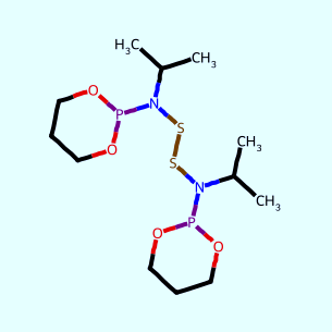 CC(C)N(SSN(C(C)C)P1OCCCO1)P1OCCCO1